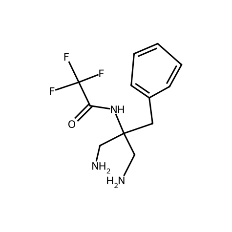 NCC(CN)(Cc1ccccc1)NC(=O)C(F)(F)F